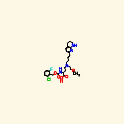 COCCN(CCCCc1ccc2c(n1)NCCC2)CC[C@H](NC(=O)OCc1c(F)cccc1Cl)C(=O)O